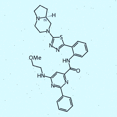 COCCNc1cc(C(=O)Nc2ccccc2-c2nnc(N3CCN4CCC[C@H]4C3)s2)nc(-c2ccccc2)n1